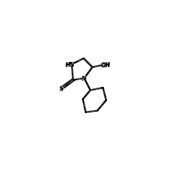 OC1CNC(=S)N1C1CCCCC1